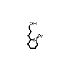 CC(C)N1CCCCC1CCCO